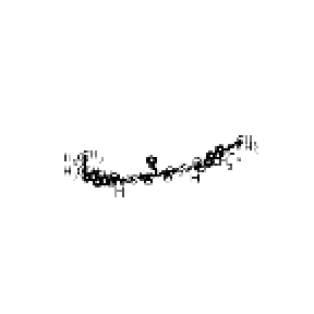 CC(C)CCCCC1CCC2C3CC=C4C[C@@H](OC(=O)NCCSSCCOC(=O)CCN(CCC(=O)OCCSSCCNC(=O)O[C@H]5CC[C@@]6(C)C(=CCC7C8CCC([C@H](C)CCCC(C)C)[C@@]8(C)CCC76)C5)CCN5CCCCC5)CC[C@]4(C)C3CC[C@]12C